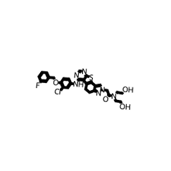 O=C(Cn1cc2c(n1)CCc1c-2sc2ncnc(Nc3ccc(OCc4cccc(F)c4)c(Cl)c3)c12)N(CCO)CCO